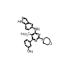 O=C(O)c1c(Nc2ccc3[nH]ncc3c2)nc(N2CCOCC2)nc1-c1cccc(O)c1